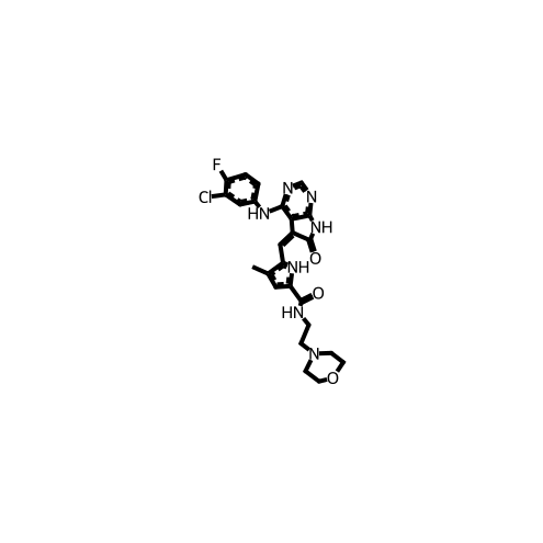 Cc1cc(C(=O)NCCN2CCOCC2)[nH]c1C=C1C(=O)Nc2ncnc(Nc3ccc(F)c(Cl)c3)c21